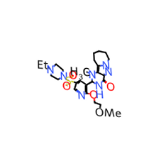 CCN1CCN(S(=O)(=O)c2cnc(OCCOC)c(C3NC(=O)c4nn5c(c4N3C)CCCCC5)c2)CC1